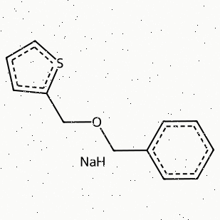 [NaH].c1ccc(COCc2cccs2)cc1